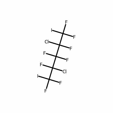 FC(F)(I)C(F)(Cl)C(F)(F)C(F)(Cl)C(F)(F)I